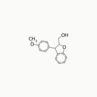 COc1ccc(C2c3ccccc3OC2CO)cc1